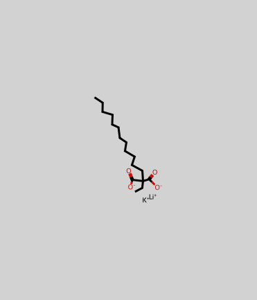 CCCCCCCCCCCCC(CC)(C(=O)[O-])C(=O)[O-].[K+].[Li+]